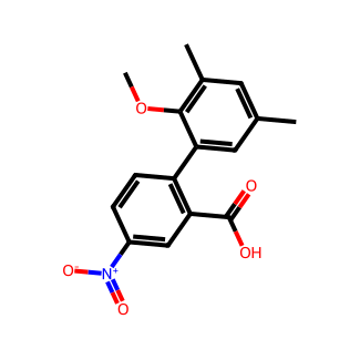 COc1c(C)cc(C)cc1-c1ccc([N+](=O)[O-])cc1C(=O)O